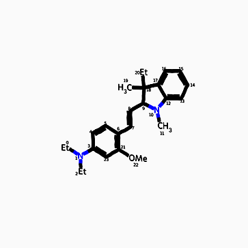 CCN(CC)c1ccc(/C=C/C2N(C)c3ccccc3C2(C)CC)c(OC)c1